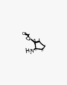 NC1CCCC1OC=O